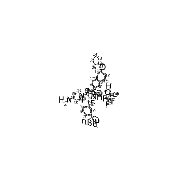 CCCCOc1cccc(C(F)(F)C(NS(=O)(=O)c2ccc3cc(OC4CCCC4)ccc3c2)C(=O)N2CCC(N)CC2)c1.O=C(O)C(F)(F)F